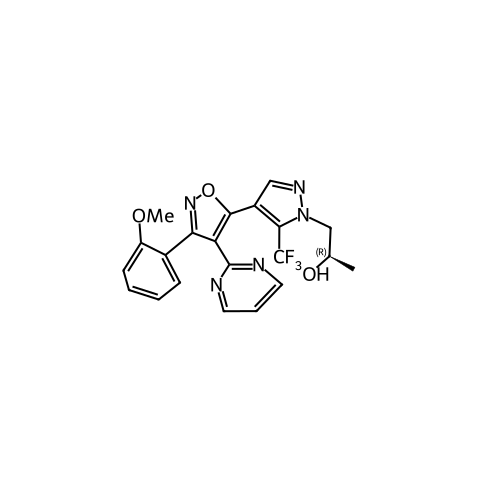 COc1ccccc1-c1noc(-c2cnn(C[C@@H](C)O)c2C(F)(F)F)c1-c1ncccn1